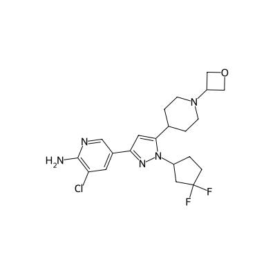 Nc1ncc(-c2cc(C3CCN(C4COC4)CC3)n(C3CCC(F)(F)C3)n2)cc1Cl